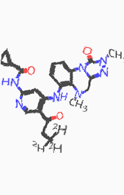 [2H]C([2H])([2H])CC(=O)c1cnc(NC(=O)C2CC2)cc1Nc1cccc2c1N(C)Cc1nn(C)c(=O)n1-2